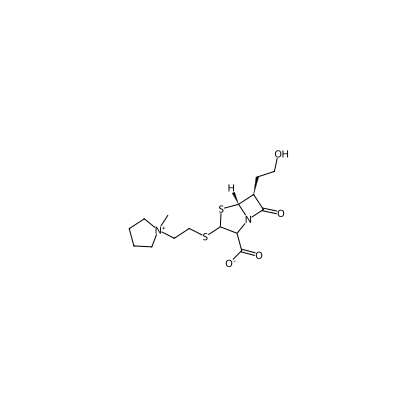 C[N+]1(CCSC2S[C@@H]3[C@@H](CCO)C(=O)N3C2C(=O)[O-])CCCC1